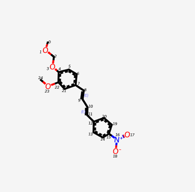 COCOc1ccc(/C=C/C=C/c2ccc([N+](=O)[O-])cc2)cc1OC